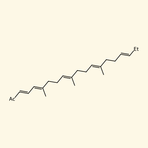 CC/C=C/CC/C(C)=C/CC/C(C)=C/CC/C(C)=C/C=C/C(C)=O